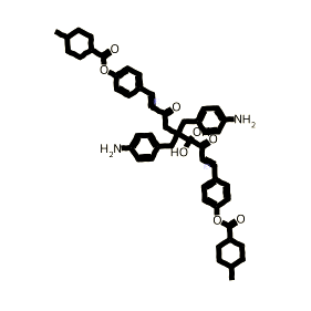 CC1CCC(C(=O)Oc2ccc(/C=C/C(=O)CC(Cc3ccc(N)cc3)(Cc3ccc(N)cc3)C(O)(O)C(=O)/C=C/c3ccc(OC(=O)C4CCC(C)CC4)cc3)cc2)CC1